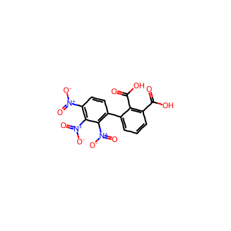 O=C(O)c1cccc(-c2ccc([N+](=O)[O-])c([N+](=O)[O-])c2[N+](=O)[O-])c1C(=O)O